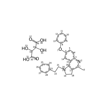 Cc1nc2ccc(Oc3ccccc3)cc2c2c1CCN2CCc1ccccc1.O=C(O)C(O)C(O)C(=O)O